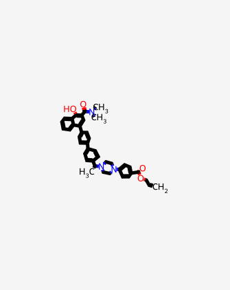 C=CCOC(=O)c1ccc(N2CCN(C(C)c3ccc(-c4ccc(-c5cc(C(=O)N(C)C)c(O)c6ccccc56)cc4)cc3)CC2)cc1